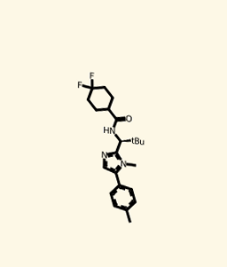 Cc1ccc(-c2cnc([C@@H](NC(=O)C3CCC(F)(F)CC3)C(C)(C)C)n2C)cc1